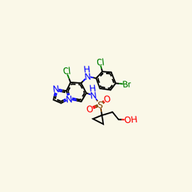 O=S(=O)(Nc1cn2ccnc2c(Cl)c1Nc1ccc(Br)cc1Cl)C1(CCO)CC1